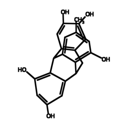 Cc1cc(O)c2c(c1)C1c3cc(O)c(O)cc3CC2c2cc(O)cc(O)c21